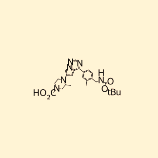 Cc1cc(-c2ncnn3cc(N4CCN(C(=O)O)CC4C)cc23)ccc1CNC(=O)OC(C)(C)C